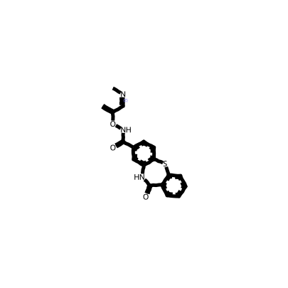 C=C(/C=N\C)ONC(=O)c1ccc2c(c1)NC(=O)c1ccccc1S2